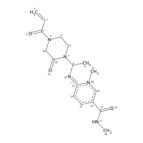 C=CC(=O)N1CCN(C(C)/N=c2/ccc(C(=O)NC)cn2C)C(=O)C1